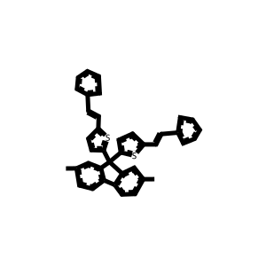 Cc1ccc2c(c1)C(c1ccc(/C=C/c3ccccc3)s1)(c1ccc(/C=C/c3ccccc3)s1)c1cc(C)ccc1-2